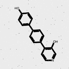 Oc1ccc(-c2ccc(-c3ccncc3O)cc2)cc1